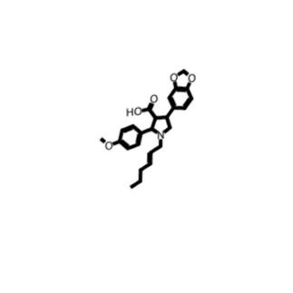 CCC/C=C/CN1CC(c2ccc3c(c2)OCO3)C(C(=O)O)C1c1ccc(OC)cc1